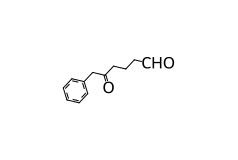 O=CCCCC(=O)Cc1ccccc1